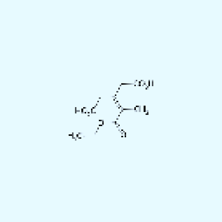 C=COC(=O)C(C)=C(CC(=O)O)CC(=O)O